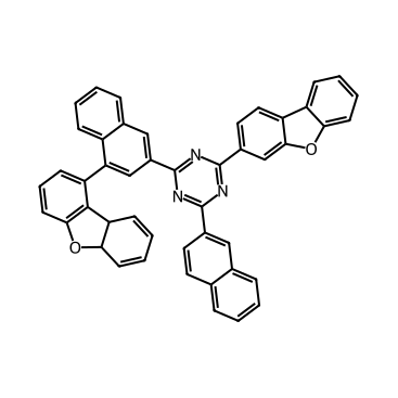 C1=CC2Oc3cccc(-c4cc(-c5nc(-c6ccc7ccccc7c6)nc(-c6ccc7c(c6)oc6ccccc67)n5)cc5ccccc45)c3C2C=C1